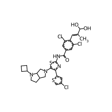 C/C(=C\c1c(Cl)cc(C(=O)Nc2nc(-c3cc(Cl)cs3)c(N3CC4CCN(C5CCC5)C4C3)s2)cc1Cl)C(O)O